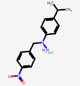 CC(C)c1ccc(N(N)Cc2ccc([N+](=O)[O-])cc2)cc1.Cl